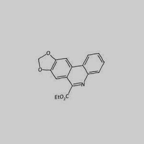 CCOC(=O)c1nc2ccccc2c2cc3c(cc12)OCO3